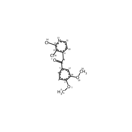 COc1ccc(C(=O)Cc2ccnc(Cl)c2Cl)cc1OC